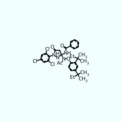 CCC(C)(C)c1ccc(ON(C(C)=O)C2(NC(=O)c3ccccc3)CC(=O)N(c3c(Cl)cc(Cl)cc3Cl)N2)c(C(C)(C)CC)c1